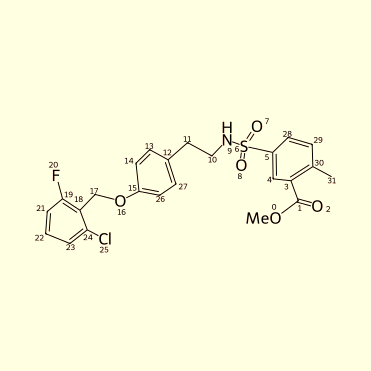 COC(=O)c1cc(S(=O)(=O)NCCc2ccc(OCc3c(F)cccc3Cl)cc2)ccc1C